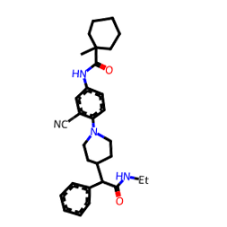 CCNC(=O)C(c1ccccc1)C1CCN(c2ccc(NC(=O)C3(C)CCCCC3)cc2C#N)CC1